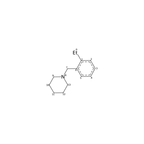 CCc1ccccc1CN1CCCCC1